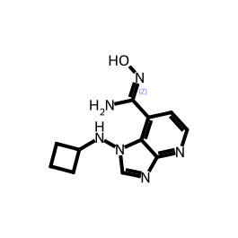 N/C(=N\O)c1ccnc2ncn(NC3CCC3)c12